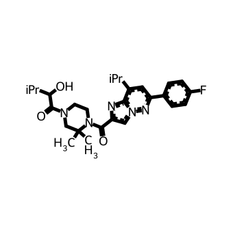 CC(C)c1cc(-c2ccc(F)cc2)nn2cc(C(=O)N3CCN(C(=O)C(O)C(C)C)CC3(C)C)nc12